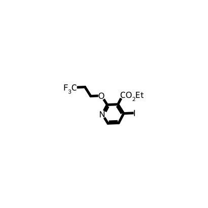 CCOC(=O)c1c(I)ccnc1OCCC(F)(F)F